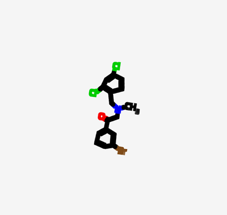 CN(CC(=O)c1cccc(Br)c1)Cc1ccc(Cl)cc1Cl